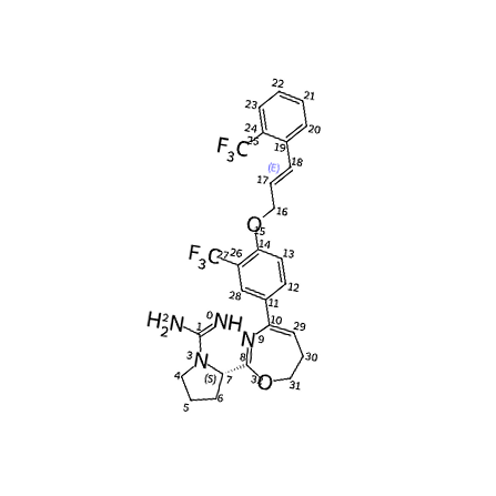 N=C(N)N1CCC[C@H]1C1=NC(c2ccc(OC/C=C/c3ccccc3C(F)(F)F)c(C(F)(F)F)c2)=CCCO1